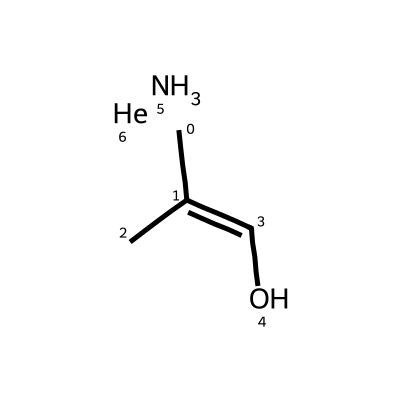 CC(C)=CO.N.[He]